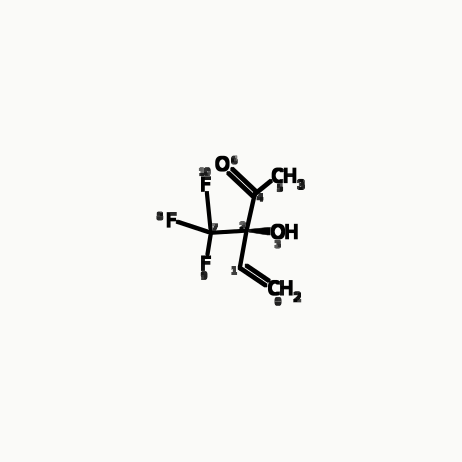 C=C[C@@](O)(C(C)=O)C(F)(F)F